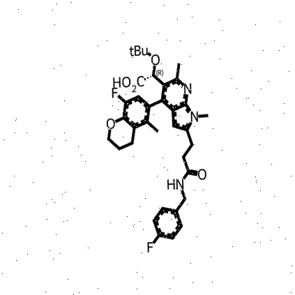 Cc1nc2c(cc(CCC(=O)NCc3ccc(F)cc3)n2C)c(-c2cc(F)c3c(c2C)CCCO3)c1[C@@H](OC(C)(C)C)C(=O)O